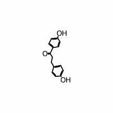 O=C(CCc1ccc(O)cc1)c1ccc(O)cc1